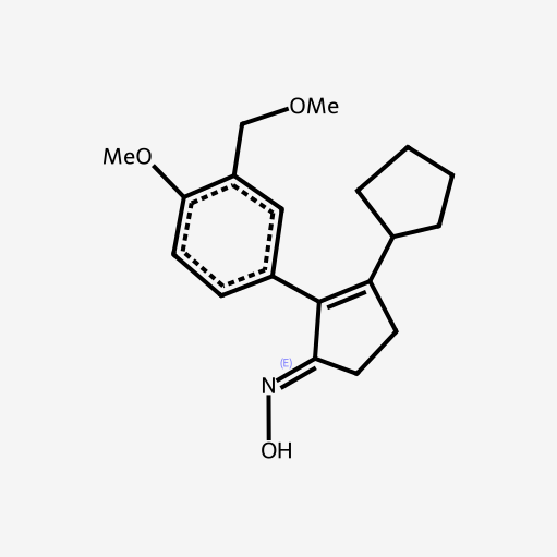 COCc1cc(C2=C(C3CCCC3)CC/C2=N\O)ccc1OC